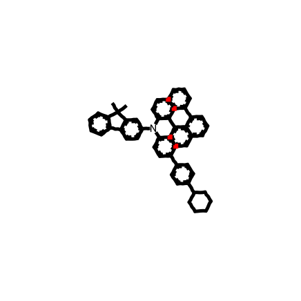 CC1(C)c2ccccc2-c2ccc(N(c3ccc(-c4ccc(C5CCCCC5)cc4)cc3)c3ccccc3-c3cccc4cccc(-c5ccccc5)c34)cc21